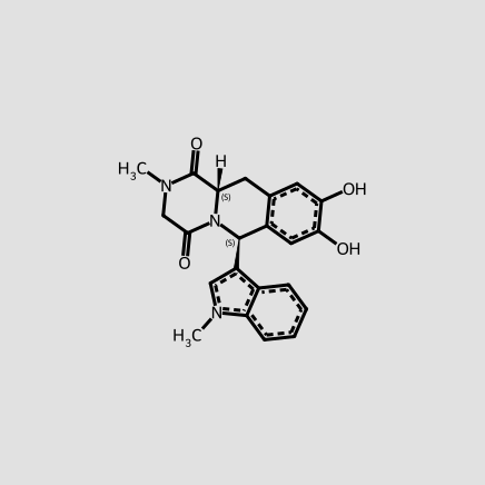 CN1CC(=O)N2[C@H](c3cn(C)c4ccccc34)c3cc(O)c(O)cc3C[C@H]2C1=O